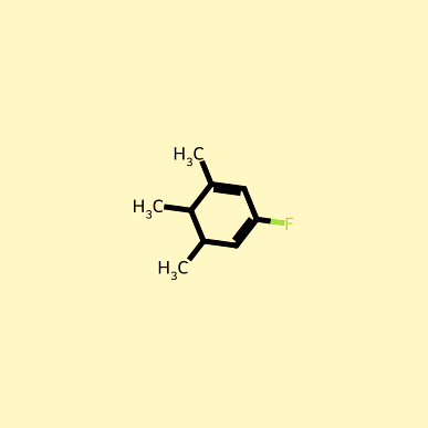 CC1=CC(F)=CC(C)C1C